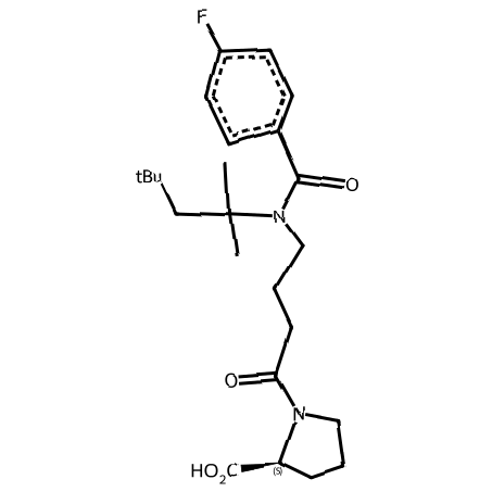 CC(C)(C)CC(C)(C)N(CCCC(=O)N1CCC[C@H]1C(=O)O)C(=O)c1ccc(F)cc1